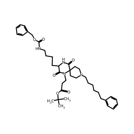 CC(C)(C)OC(=O)CCN1C(=O)C(CCCCNC(=O)OCc2ccccc2)NC(=O)C12CCN(CCCCCCc1ccccc1)CC2